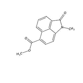 COC(=O)c1ccc2c3c(cccc13)C(=O)N2C